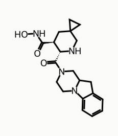 O=C(NO)[C@H]1CC2(CC2)CN[C@@H]1C(=O)N1CCN2c3ccccc3CC2C1